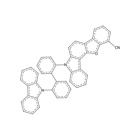 N#Cc1cccc2c1oc1c2ccc2c1c1ccccc1n2-c1ccccc1-c1ccccc1-n1c2ccccc2c2ccccc21